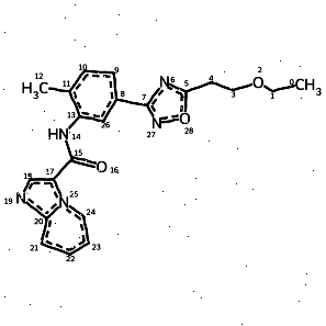 CCOCCc1nc(-c2ccc(C)c(NC(=O)c3cnc4ccccn34)c2)no1